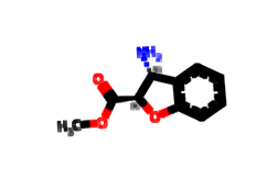 COC(=O)[C@@H]1Oc2ccccc2[C@H]1N